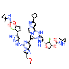 COCc1cn2c(Nc3cc([C@@H]4CC[C@H](OC(=O)NC5(C)CC5)[C@@H]4F)[nH]n3)nc(C3CC3[n+]3[nH]c([C@H]4OC[C@@H](OC(=O)NC5(C)CC5)[C@@H]4F)cc3Nc3nccn4nc(C5CCC5)cc34)cc2n1